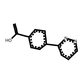 C=C(O)c1ccc(-c2cccnn2)cc1